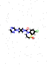 O=C(N1CC2(C1)CN(c1cnccn1)C2)N1CCC[S+]([O-])c2cc(Cl)ccc21